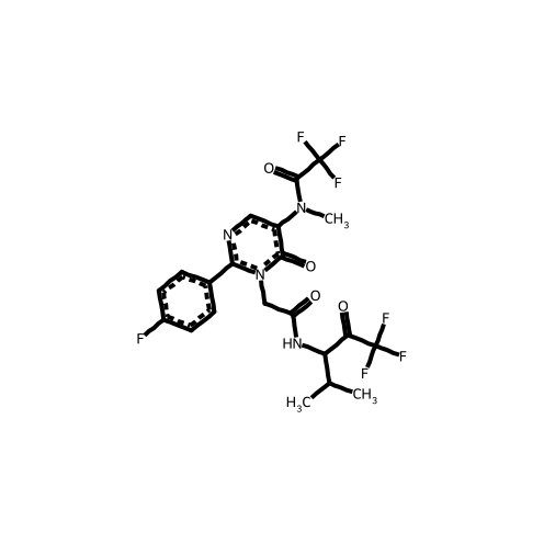 CC(C)C(NC(=O)Cn1c(-c2ccc(F)cc2)ncc(N(C)C(=O)C(F)(F)F)c1=O)C(=O)C(F)(F)F